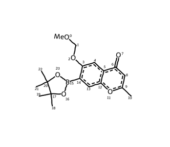 COCOc1cc2c(=O)cc(C)oc2cc1B1OC(C)(C)C(C)(C)O1